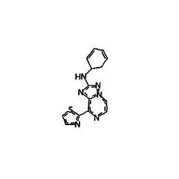 C1=CCC(Nc2nc3c(-c4nccs4)nccn3n2)C=C1